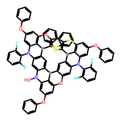 ON1c2cc3c(cc2B2c4cc5c(cc4Oc4cc(Oc6ccccc6)cc1c42)N(c1c(F)cccc1F)c1cc(Oc2ccccc2)cc2c1B5c1sc4ccccc4c1S2)B1c2sc4ccccc4c2Oc2cc(Oc4ccccc4)cc(c21)N3c1c(F)cccc1F